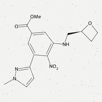 COC(=O)c1cc(NC[C@@H]2CCO2)c([N+](=O)[O-])c(-c2ccn(C)n2)c1